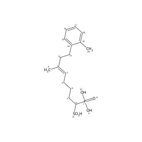 CC(=CCCCC(P(=O)(O)O)S(=O)(=O)O)CCc1ccccc1C